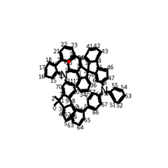 CC1(C)c2ccccc2-c2ccc(N(c3ccccc3-c3ccccc3)c3cccc4c3-c3ccccc3C43c4ccccc4-c4ccc(N(c5ccccc5)c5ccc(-c6ccccc6)cc5)cc43)cc21